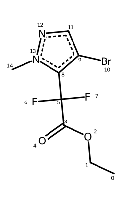 CCOC(=O)C(F)(F)c1c(Br)cnn1C